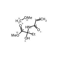 C=CC(=O)NC(O)(CC)C(=O)OC.COC